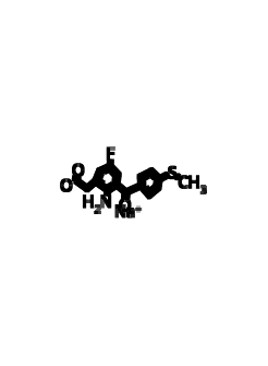 CSc1ccc(C(=O)c2cc(F)cc(CC(=O)[O-])c2N)cc1.[Na+]